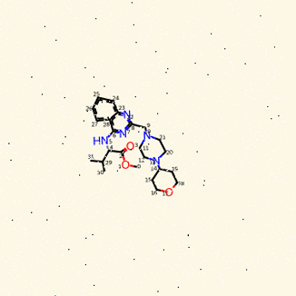 COC(=O)[C@@H](Nc1nc(CN2CCN(C3CCOCC3)CC2)nc2ccccc12)C(C)C